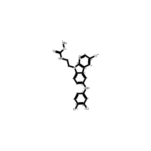 CC(C)(C)OC(=O)NCCn1c2ccc(Nc3ccc(Cl)c(Cl)c3)cc2c2cc(Cl)cnc21